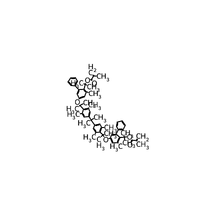 C=C(C)C(=O)OC(C)(C)c1c(C)cc(OC(C)(C)c2c(C)cc(C(C)(C)c3cc(C)c(C(C)(C)Oc4cc(C)c(C(C)(C)OC(=O)C(=C)C)c(-c5ccccc5)c4)c(C)c3)cc2C)cc1-c1ccccc1